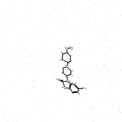 CCOC1CCC(N2CCC(n3c(=O)oc4ccc(F)cc43)CC2)CC1